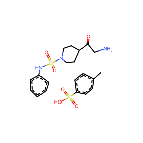 Cc1ccc(S(=O)(=O)O)cc1.NCC(=O)C1CCN(S(=O)(=O)Nc2ccccc2)CC1